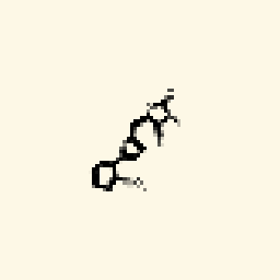 CCN1C(=O)SC(=Cc2ccc(-c3ccccc3[N+](=O)[O-])o2)C1=S